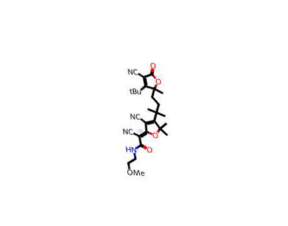 COCCNC(=O)/C(C#N)=C1\OC(C)(C)C(C(C)(C)CCC2(C)OC(=O)C(C#N)=C2C(C)(C)C)=C1C#N